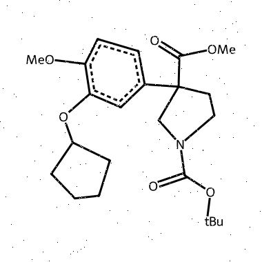 COC(=O)C1(c2ccc(OC)c(OC3CCCC3)c2)CCN(C(=O)OC(C)(C)C)C1